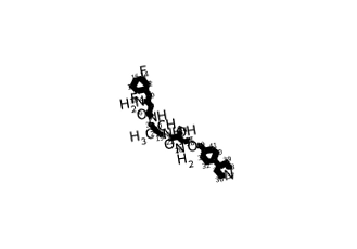 CC(C)(CNC(=O)CC(N)Cc1cc(F)ccc1F)CNC(=O)C(O)C(N)COCc1ccc(-c2ccncc2)cc1